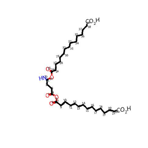 N=C(CCC(=O)OC(=O)CCCCCCCCCCCCCC(=O)O)OC(=O)CCCCCCCCCCCCCC(=O)O